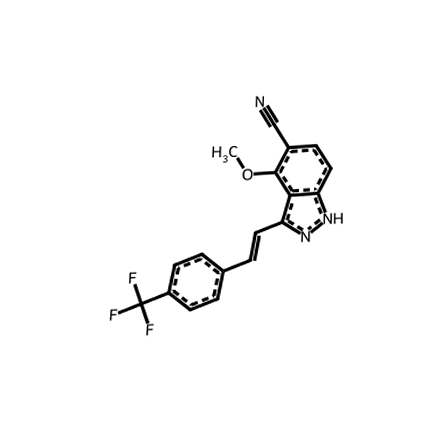 COc1c(C#N)ccc2[nH]nc(C=Cc3ccc(C(F)(F)F)cc3)c12